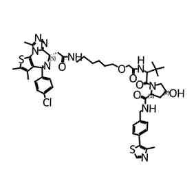 Cc1ncsc1-c1ccc(CNC(=O)[C@@H]2C[C@@H](O)CN2C(=O)C(NC(=O)COCCCCCCNC(=O)C[C@@H]2N=C(c3ccc(Cl)cc3)c3c(sc(C)c3C)-n3c(C)nnc32)C(C)(C)C)cc1